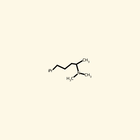 CC(C)CCCC(C)N(C)C